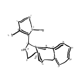 Cn1ncc(I)c1C1NCc2cc3ccccc3cc21